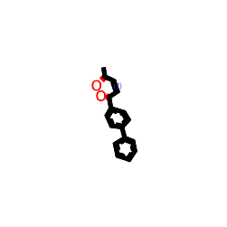 CC(=O)/C=C\C(=O)c1ccc(-c2ccccc2)cc1